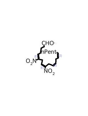 CCCCC/C=C\C/C=C\C/C(=C\C/C(=C\CCC[C]=O)[N+](=O)[O-])[N+](=O)[O-]